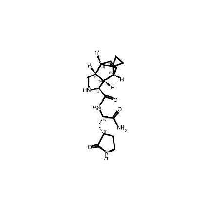 NC(=O)[C@H](C[C@@H]1CCNC1=O)NC(=O)[C@H]1NC[C@H]2[C@@H]1[C@H]1C=C[C@@H]2C12CC2